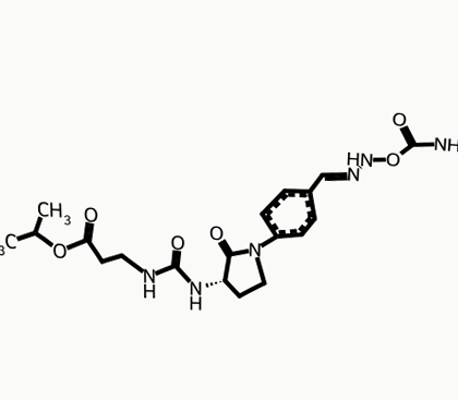 CC(C)OC(=O)CCNC(=O)N[C@H]1CCN(c2ccc(C=NNOC(N)=O)cc2)C1=O